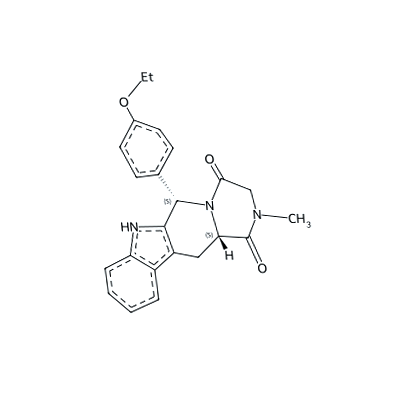 CCOc1ccc([C@H]2c3[nH]c4ccccc4c3C[C@H]3C(=O)N(C)CC(=O)N23)cc1